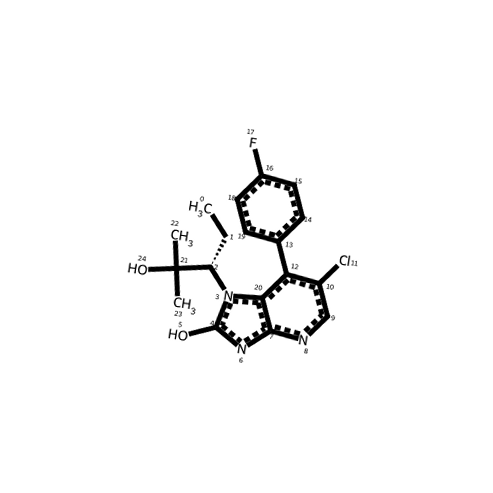 CC[C@H](n1c(O)nc2ncc(Cl)c(-c3ccc(F)cc3)c21)C(C)(C)O